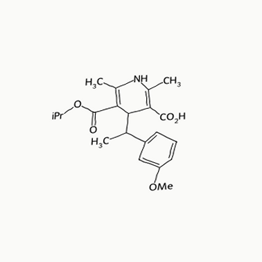 COc1cccc(C(C)C2C(C(=O)O)=C(C)NC(C)=C2C(=O)OC(C)C)c1